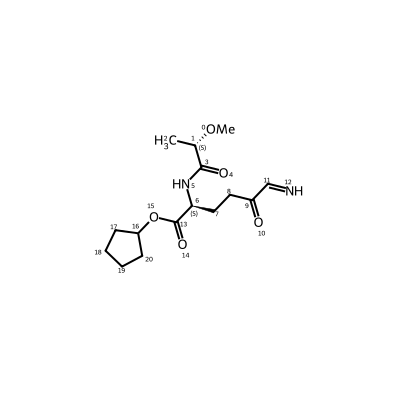 CO[C@@H](C)C(=O)N[C@@H](CCC(=O)C=N)C(=O)OC1CCCC1